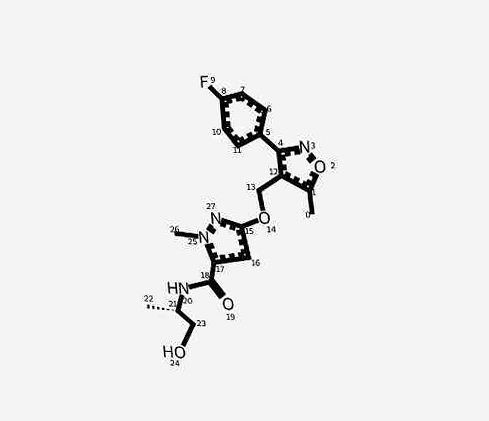 Cc1onc(-c2ccc(F)cc2)c1COc1cc(C(=O)N[C@@H](C)CO)n(C)n1